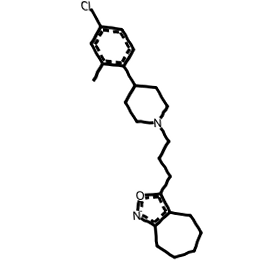 Cc1cc(Cl)ccc1C1CCN(CCCc2onc3c2CCCCC3)CC1